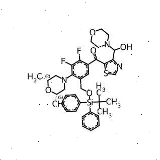 C[C@@H]1CN(c2c(CO[Si](c3ccccc3)(c3ccccc3)C(C)(C)C)cc(C(=O)c3scnc3C(O)N3CCOCC3)c(F)c2F)C[C@H](C)O1